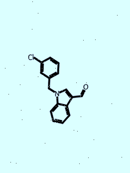 O=Cc1cn(Cc2cccc(Cl)c2)c2ccccc12